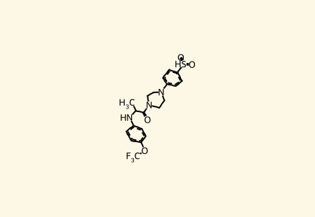 CC(Nc1ccc(OC(F)(F)F)cc1)C(=O)N1CCN(c2ccc([SH](=O)=O)cc2)CC1